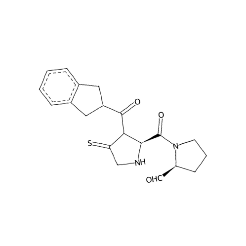 O=C[C@@H]1CCCN1C(=O)[C@H]1NCC(=S)C1C(=O)C1Cc2ccccc2C1